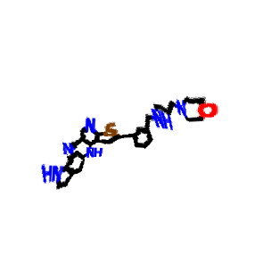 N#Cc1cnc2sc(-c3cccc(CNCCCN4CCOCC4)c3)cc2c1Nc1ccc2[nH]ccc2c1